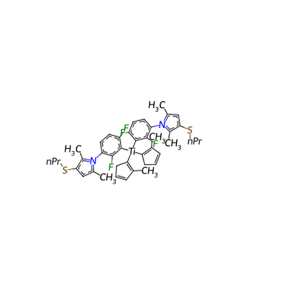 CCCSc1cc(C)n(-c2ccc(F)[c]([Ti]([C]3=C(C)C=CC3)([C]3=C(C)C=CC3)[c]3c(F)ccc(-n4c(C)cc(SCCC)c4C)c3F)c2F)c1C